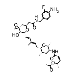 CC(=O)O[C@@H](C)/C=C\C(=O)N[C@@H]1C[C@H](C)[C@H](C/C=C(C)/C=C/[C@H]2O[C@H](CC(=O)NCc3ccc(N)c(F)c3)C[C@@]3(CO3)[C@@H]2O)O[C@@H]1C